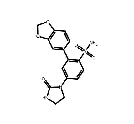 NS(=O)(=O)c1ccc(N2CCNC2=O)cc1-c1ccc2c(c1)OCO2